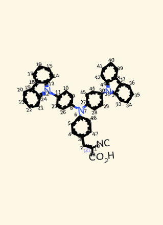 [C-]#[N+]/C(=C\c1ccc(N(c2ccc(-n3c4ccccc4c4ccccc43)cc2)c2ccc(-n3c4ccccc4c4ccccc43)cc2)cc1)C(=O)O